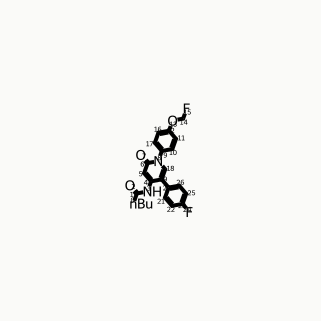 CCCCC(=O)Nc1cc(=O)n(-c2ccc(OCF)cc2)cc1-c1ccc(F)cc1